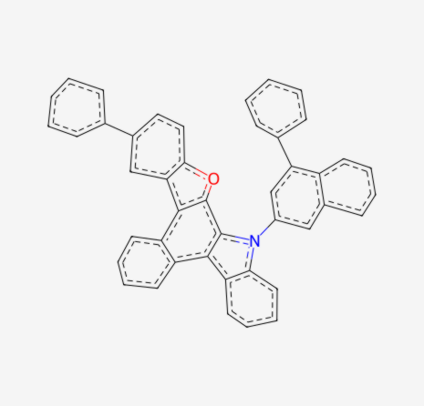 c1ccc(-c2ccc3oc4c(c3c2)c2ccccc2c2c3ccccc3n(-c3cc(-c5ccccc5)c5ccccc5c3)c42)cc1